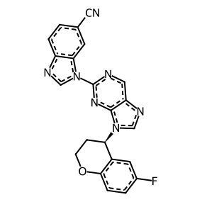 N#Cc1ccc2ncn(-c3ncc4ncn([C@@H]5CCOc6ccc(F)cc65)c4n3)c2c1